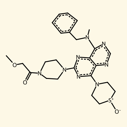 COCC(=O)N1CCN(c2nc(N3CC[S+]([O-])CC3)c3ncnc(N(C)Cc4ccccc4)c3n2)CC1